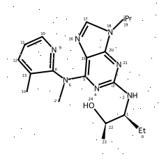 CC[C@H](Nc1nc(N(C)c2ncccc2C)c2ncn(C(C)C)c2n1)[C@@H](C)O